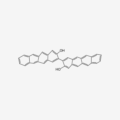 Oc1cc2cc3cc4ccccc4cc3cc2cc1-c1cc2cc3cc4ccccc4cc3cc2cc1O